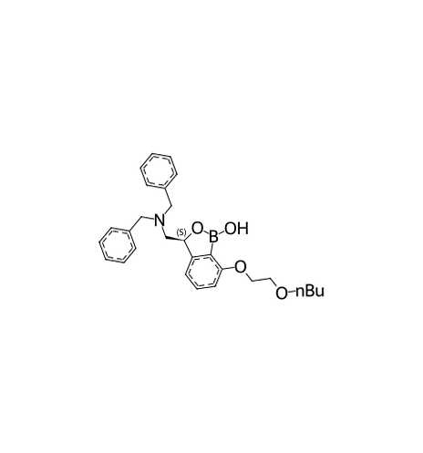 CCCCOCCOc1cccc2c1B(O)O[C@@H]2CN(Cc1ccccc1)Cc1ccccc1